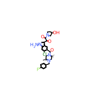 C[C@@H]1CN(Cc2ccc(F)cc2)[C@@H](C)CN1C(=O)c1cc2c(C(=O)C(=O)N3CC[C@@H](O)C3)cn(N)c2cc1Cl